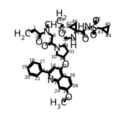 C=CC(=O)N(C)CC(=O)N1C[C@H](Oc2cc(-c3ccccc3)nc3cc(OC)ccc23)C[C@H]1C(=O)N[C@]1(C(=O)NS(=O)(=O)C2CC2)C[C@H]1C=C